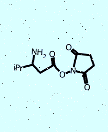 CC(C)C(N)CC(=O)ON1C(=O)CCC1=O